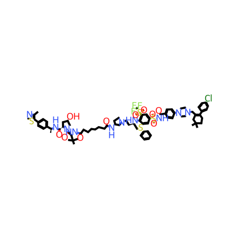 Cc1ncsc1-c1ccc([C@H](C)NC(=O)[C@@H]2C[C@@H](O)CN2C(=O)[C@@H](NC(=O)CCCCCCC(=O)N[C@@H]2CCN(CC[C@H](CSc3ccccc3)Nc3ccc(S(=O)(=O)NC(=O)c4ccc(N5CCN(CC6=C(c7ccc(Cl)cc7)CCC(C)(C)C6)CC5)cc4)cc3S(=O)(=O)C(F)(F)F)C2)C(C)(C)C)cc1